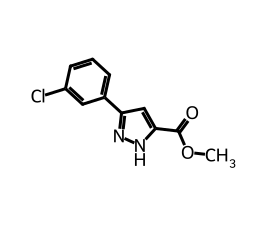 COC(=O)c1cc(-c2cccc(Cl)c2)n[nH]1